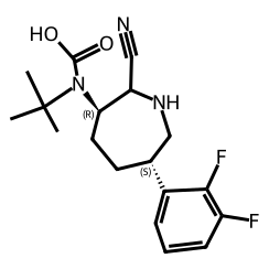 CC(C)(C)N(C(=O)O)[C@@H]1CC[C@@H](c2cccc(F)c2F)CNC1C#N